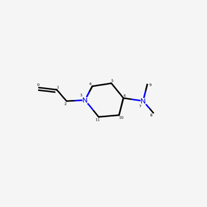 C=CCN1CCC(N(C)C)CC1